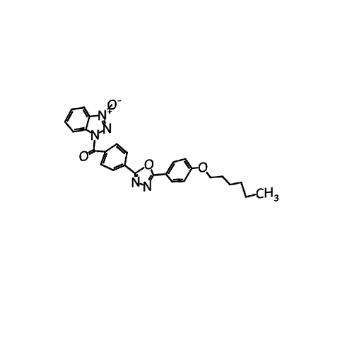 CCCCCCOc1ccc(-c2nnc(-c3ccc(C(=O)n4n[n+]([O-])c5ccccc54)cc3)o2)cc1